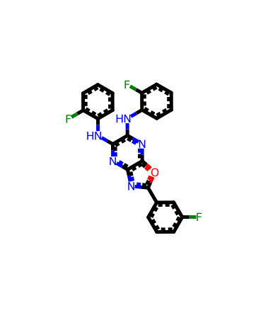 Fc1cccc(-c2nc3nc(Nc4ccccc4F)c(Nc4ccccc4F)nc3o2)c1